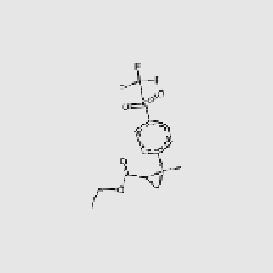 CCOC(=O)C1CC1(C)c1ccc(S(=O)(=O)C(F)(F)F)cc1